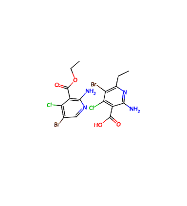 CCOC(=O)c1c(N)ncc(Br)c1Cl.CCc1nc(N)c(C(=O)O)c(Cl)c1Br